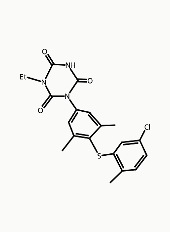 CCn1c(=O)[nH]c(=O)n(-c2cc(C)c(Sc3cc(Cl)ccc3C)c(C)c2)c1=O